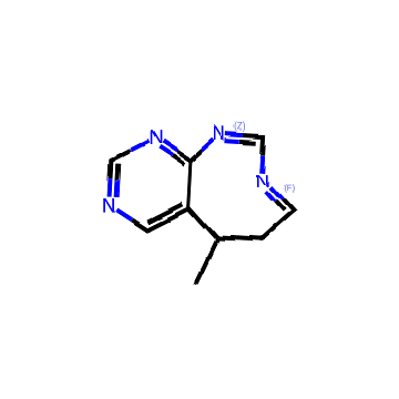 CC1C/C=N/C=N\c2ncncc21